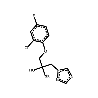 CC(C)(C)C(O)(COc1ccc(F)cc1Cl)Cn1cncn1